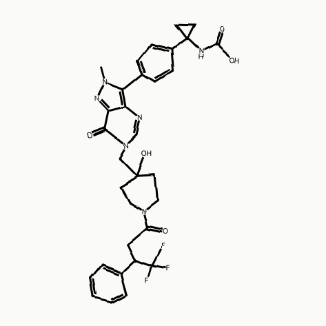 Cn1nc2c(=O)n(CC3(O)CCN(C(=O)CC(c4ccccc4)C(F)(F)F)CC3)cnc2c1-c1ccc(C2(NC(=O)O)CC2)cc1